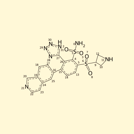 NS(=O)(=O)c1c(S(=O)(=O)C2CNC2)ccc(-c2ccc3cnccc3c2)c1-c1nnn[nH]1